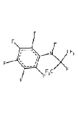 Fc1c(F)c(F)c(N(F)C(F)(C(F)(F)F)C(F)(F)F)c(F)c1F